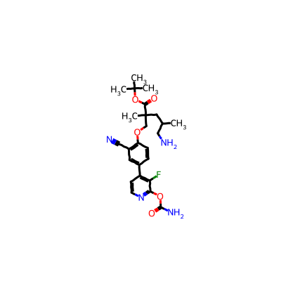 CC(CN)CC(C)(COc1ccc(-c2ccnc(OC(N)=O)c2F)cc1C#N)C(=O)OC(C)(C)C